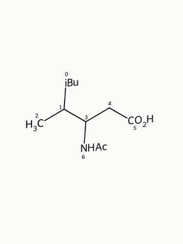 CCC(C)C(C)C(CC(=O)O)NC(C)=O